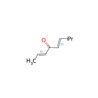 C/C=C/C(=O)/C=C/C(C)C